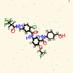 CC(C)(C(=O)NCc1ccc(Cl)c(C(=O)Nc2ccc(OCC(F)F)c(C(=O)NC3CCC(CO)CC3)c2)c1)C(F)(F)F